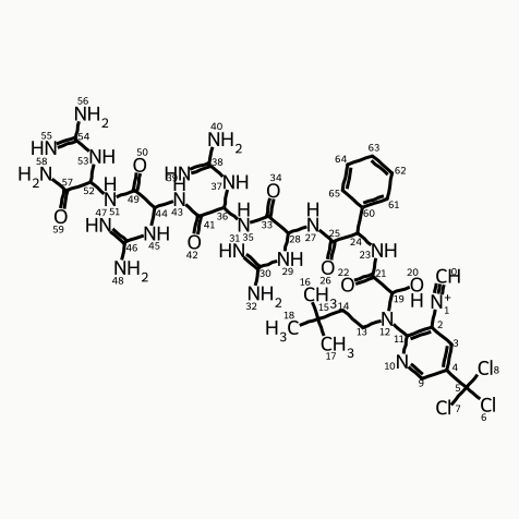 C#[N+]c1cc(C(Cl)(Cl)Cl)cnc1N(CCC(C)(C)C)C(O)C(=O)NC(C(=O)NC(NC(=N)N)C(=O)NC(NC(=N)N)C(=O)NC(NC(=N)N)C(=O)NC(NC(=N)N)C(N)=O)c1ccccc1